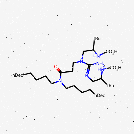 CCCCCCCCCCCCCCN(CCCCCCCCCCCCCC)C(=O)CCN(CC(NC(=O)O)C(C)(C)C)C(N)=NCC(NC(=O)O)C(C)(C)C